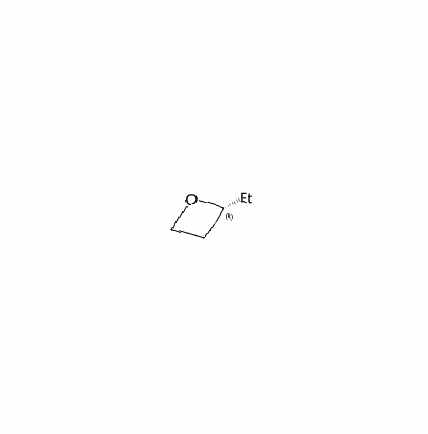 CC[C@@H]1CCO1